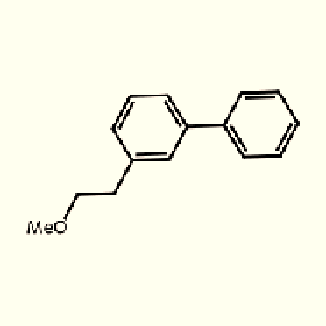 COCCc1cccc(-c2ccccc2)c1